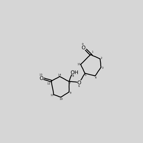 O=C1CCCC(OC2(O)CCCC(=O)C2)C1